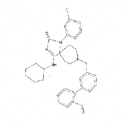 C=Cc1ccccc1-c1cccc(CN2CCC3(CC2)C(NC2CCCCC2)=NC(=O)N3c2cccc(F)c2)c1